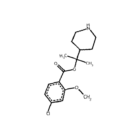 COc1cc(Cl)ccc1C(=O)OC(C)(C)C1CCNCC1